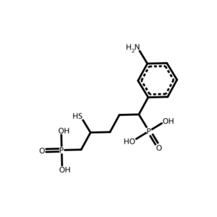 Nc1cccc(C(CCC(S)CP(=O)(O)O)P(=O)(O)O)c1